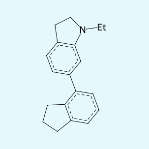 CCN1CCc2ccc(-c3cccc4c3CCC4)cc21